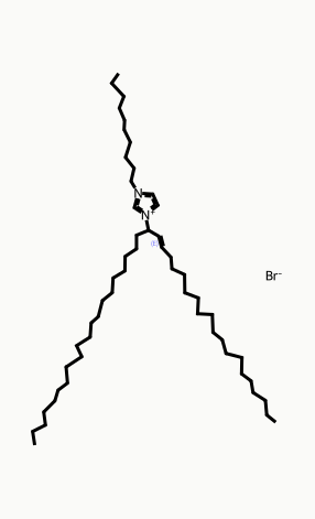 CCCCCCCCCCCCCCCCC/C=C/C(CCCCCCCCCCCCCCCCCCCC)[n+]1ccn(CCCCCCCCCC)c1.[Br-]